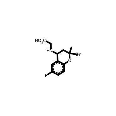 CC(C)C1(C)CC(NCC(=O)O)c2cc(F)ccc2O1